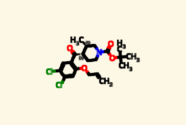 C=CCOc1cc(Cl)c(Cl)cc1C(=O)[C@H]1CCN(C(=O)OC(C)(C)C)C[C@H]1C